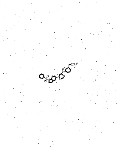 O=C(O)Cc1cccc(Nc2cc(-c3cnc4c(ccn4S(=O)(=O)c4ccccc4)c3)ncn2)c1